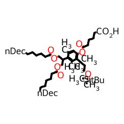 CCCCCCCCCCCCCCCC(=O)OCC(COC(=O)CCCCCCCCCCCCCCC)c1c(C)cc(OC(=O)CCCCC(=O)O)c(C(C)(C)CCO[Si](C)(C)C(C)(C)C)c1C